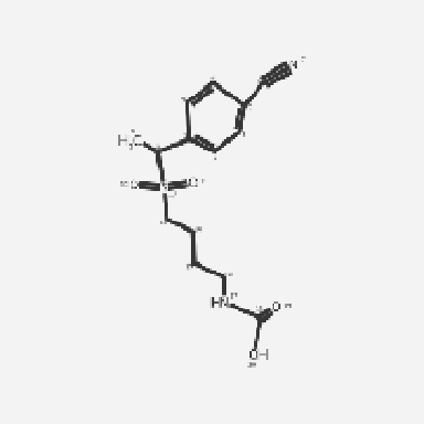 CC(c1ccc(C#N)cc1)S(=O)(=O)CCCCNC(=O)O